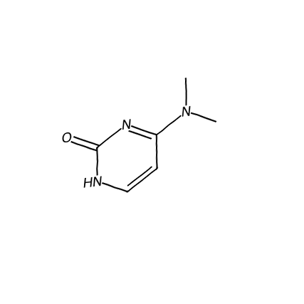 CN(C)c1cc[nH]c(=O)n1